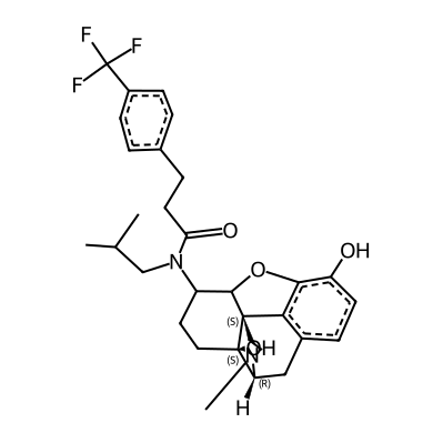 CC(C)CN(C(=O)CCc1ccc(C(F)(F)F)cc1)C1CC[C@@]2(O)[C@H]3Cc4ccc(O)c5c4[C@@]2(CCN3C)C1O5